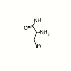 CC(C)C[C@H](N)C([NH])=O